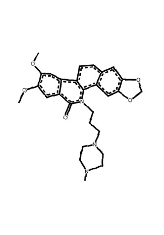 COc1cc2c(=O)n(CCCN3CCN(C)CC3)c3c4cc5c(cc4ccc3c2cc1OC)OCO5